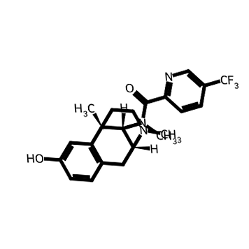 CN1CC[C@@]2(C)c3cc(O)ccc3C[C@@H]1[C@H]2N(C)C(=O)c1ccc(C(F)(F)F)cn1